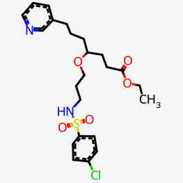 CCOC(=O)CCC(CCCc1cccnc1)OCCCNS(=O)(=O)c1ccc(Cl)cc1